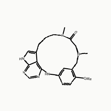 COc1ccc2cc1CN(C)CC(=O)N(C)CCCc1c[nH]c3ncnc(c13)N2